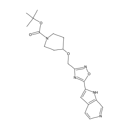 CC(C)(C)OC(=O)N1CCC(OCc2noc(-c3cc4ccncc4[nH]3)n2)CC1